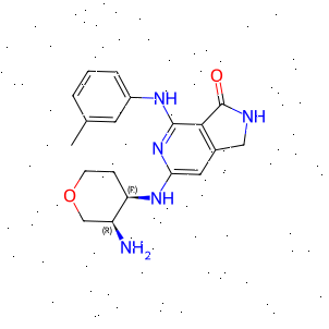 Cc1cccc(Nc2nc(N[C@@H]3CCOC[C@@H]3N)cc3c2C(=O)NC3)c1